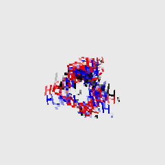 CCCCCCCCCC(=O)NC(Cc1c[nH]c2ccccc12)C(=O)NC(CCC(=O)O)C(=O)NC(C(=O)NC1C(=O)N(C)CC(=O)NC(C)C(=O)NC(CC(=O)O)C(=O)NC(CC(N)=O)C(=O)NC(C(OC)C(=O)O)C(=O)NCC(=O)NC(CC(N)=O)C(=O)NC(C(C)CC(=O)O)C(=O)NC(C(C)C)C(=O)OC1C)C(O)C(N)=O